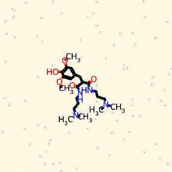 COc1cc(CC(C(=O)NCCCN(C)C)C(=O)NCCCN(C)C)cc(OC)c1O